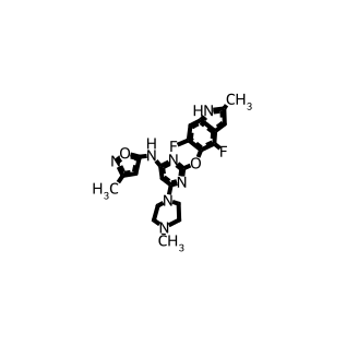 Cc1cc(Nc2cc(N3CCN(C)CC3)nc(Oc3c(F)cc4[nH]c(C)cc4c3F)n2)on1